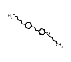 C=CCCCOc1ccc(CC[C@H]2CC[C@H](CCCCC)CC2)cc1